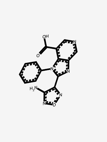 Nc1nonc1-c1nc2cncc(C(=O)O)c2n1-c1ccccc1